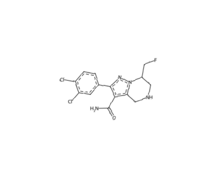 NC(=O)c1c(-c2ccc(Cl)c(Cl)c2)nn2c1CNCC2CF